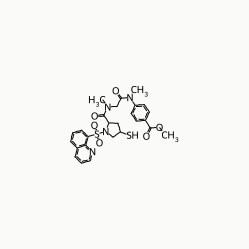 COC(=O)c1ccc(N(C)C(=O)CN(C)C(=O)C2CC(S)CN2S(=O)(=O)c2cccc3cccnc23)cc1